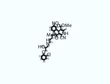 COC(=O)C1=C(C)NC(C#N)=C(C(=O)OC)C1c1cc([N+](=O)[O-])ccc1OCCCCNCC(O)COc1ccccc1Cl